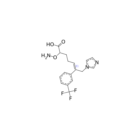 NOC(CC/C=C(/Cn1ccnc1)c1cccc(C(F)(F)F)c1)C(=O)O